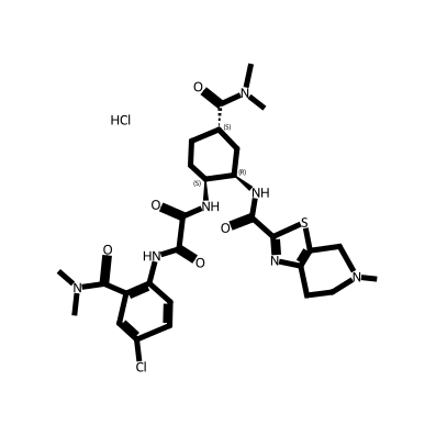 CN1CCc2nc(C(=O)N[C@@H]3C[C@@H](C(=O)N(C)C)CC[C@@H]3NC(=O)C(=O)Nc3ccc(Cl)cc3C(=O)N(C)C)sc2C1.Cl